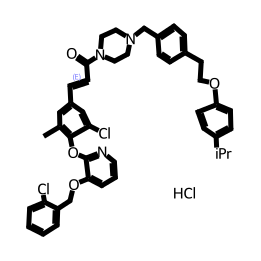 Cc1cc(/C=C/C(=O)N2CCN(Cc3ccc(CCOc4ccc(C(C)C)cc4)cc3)CC2)cc(Cl)c1Oc1ncccc1OCc1ccccc1Cl.Cl